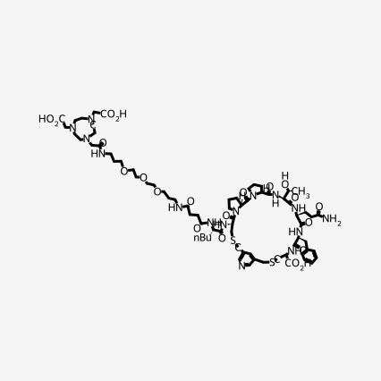 CCCC[C@H](NC(=O)CCC(=O)NCCCOCCOCCOCCCNC(=O)CN1CCN(CC(=O)O)CCN(CC(=O)O)CC1)C(=O)N[C@H]1CSCc2cncc(c2)CSCC(C(=O)O)NC(=O)[C@H](Cc2ccccc2)NC(=O)[C@H](CCC(N)=O)NC(=O)[C@H]([C@@H](C)O)NC(=O)[C@@H]2CCCN2C(=O)[C@@H]2CCCN2C1=O